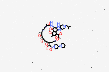 COc1c(C)c2c3c4c1C(=O)C(=C1NC5(CCN(CC(C)C)CC5)N=C14)NC(=O)/C(C)=C\C=C\[C@H](C)[C@H](OC)[C@@H](C)[C@@H](OC)[C@@H](C)[C@H](OC(=O)CC(=O)N1CCC(N4CCCCC4)CC1)[C@H](C)C/C=C/O[C@@](C)(O2)C3=O